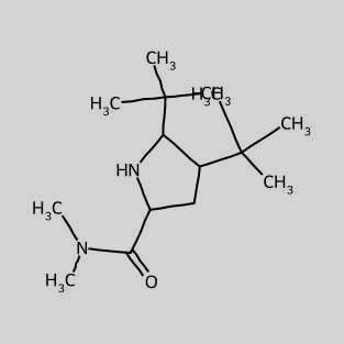 CN(C)C(=O)C1CC(C(C)(C)C)C(C(C)(C)C)N1